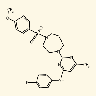 O=S(=O)(c1ccc(OC(F)(F)F)cc1)N1CCCN(c2nc(Nc3ccc(F)cc3)cc(C(F)(F)F)n2)CC1